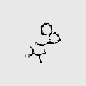 CC(NC(=O)c1cccc2ccccc12)C(=O)O